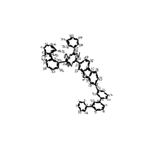 c1ccc(-c2cccc(-c3cccc(-c4ccc5c(c4)sc4cc(-c6nc(-c7ccccc7)nc(-c7cccc8oc9ccccc9c78)n6)ccc45)c3)c2)cc1